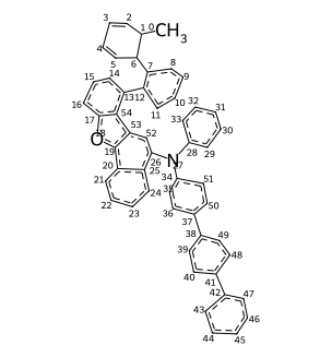 CC1C=CC=CC1c1ccccc1-c1cccc2oc3c4ccccc4c(N(c4ccccc4)c4ccc(-c5ccc(-c6ccccc6)cc5)cc4)cc3c12